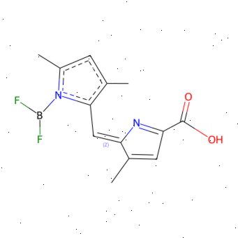 CC1=CC(C(=O)O)=N/C1=C\c1c(C)cc(C)n1B(F)F